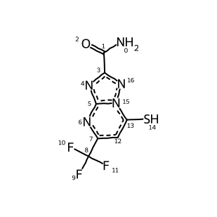 NC(=O)c1nc2nc(C(F)(F)F)cc(S)n2n1